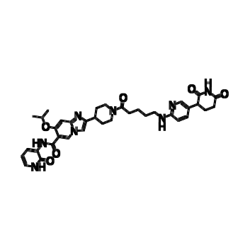 CC(C)Oc1cc2nc(C3CCN(C(=O)CCCCNc4ccc(C5CCC(=O)NC5=O)cn4)CC3)cn2cc1C(=O)Nc1ccc[nH]c1=O